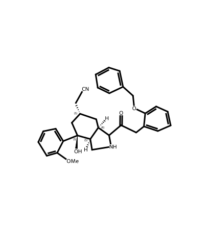 COc1ccccc1[C@]1(O)C[C@H](CC#N)C[C@H]2C(C(=O)Cc3ccccc3OCc3ccccc3)NC[C@H]21